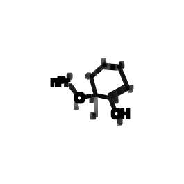 CCCOC1(C)CC=CC=C1O